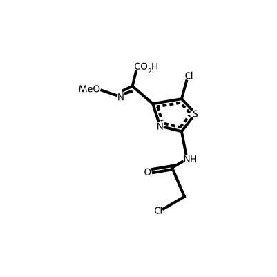 CON=C(C(=O)O)c1nc(NC(=O)CCl)sc1Cl